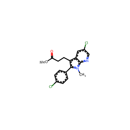 COC(=O)CCc1c(-c2ccc(Cl)cc2)n(C)c2ncc(Cl)cc12